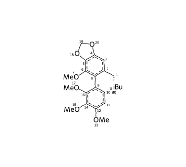 CC[C@@H](C)Cc1cc2c(c(OC)c1-c1ccc(OC)c(OC)c1OC)OCO2